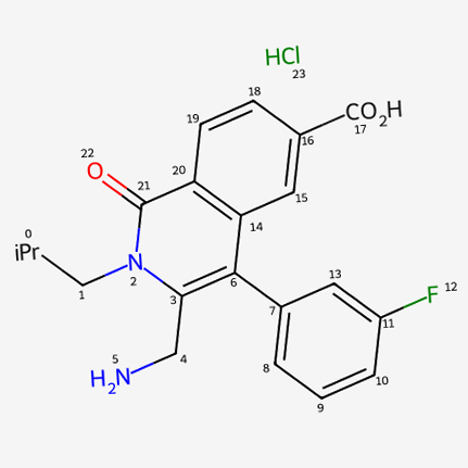 CC(C)Cn1c(CN)c(-c2cccc(F)c2)c2cc(C(=O)O)ccc2c1=O.Cl